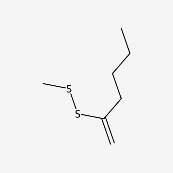 C=C(CCCC)SSC